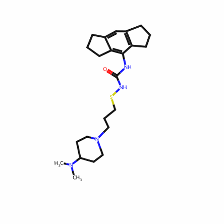 CN(C)C1CCN(CCCSNC(=O)Nc2c3c(cc4c2CCC4)CCC3)CC1